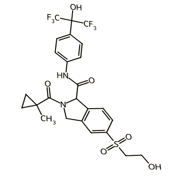 CC1(C(=O)N2Cc3cc(S(=O)(=O)CCO)ccc3C2C(=O)Nc2ccc(C(O)(C(F)(F)F)C(F)(F)F)cc2)CC1